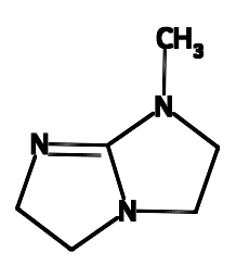 CN1CCN2CCN=C12